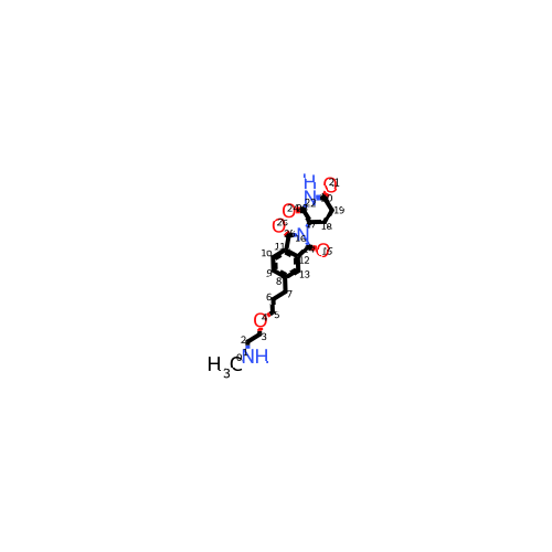 CNCCOCCCc1ccc2c(c1)C(=O)N(C1CCC(=O)NC1=O)C2=O